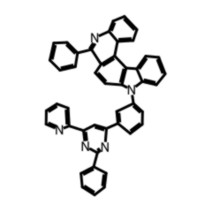 c1ccc(-c2nc(-c3cccc(-n4c5ccccc5c5c6c(ccc54)c(-c4ccccc4)nc4ccccc46)c3)cc(-c3ccccn3)n2)cc1